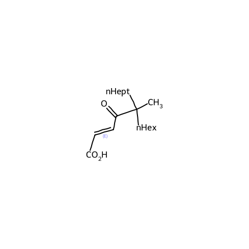 CCCCCCCC(C)(CCCCCC)C(=O)/C=C/C(=O)O